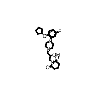 O=C1CCCC(=O)N1CC(O)CN1CCN(c2cc(F)ccc2OC2CCCC2)CC1